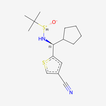 CC(C)(C)[S@+]([O-])N[C@H](c1cc(C#N)cs1)C1CCCC1